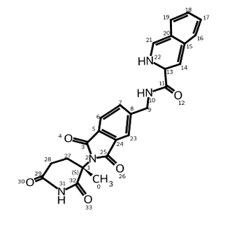 C[C@]1(N2C(=O)c3ccc(CNC(=O)C4C=c5ccccc5=CN4)cc3C2=O)CCC(=O)NC1=O